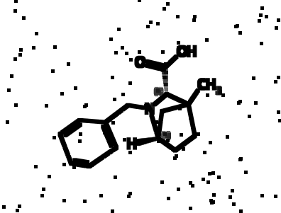 CC12CC[C@@H](C1)N(Cc1ccccc1)[C@@H]2C(=O)O